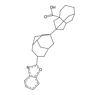 O=C(O)C12CCCC3CC1CC(C14CC5CC(c6nc7ccccc7o6)CC(C1)C(C5)C4)(C3)C2